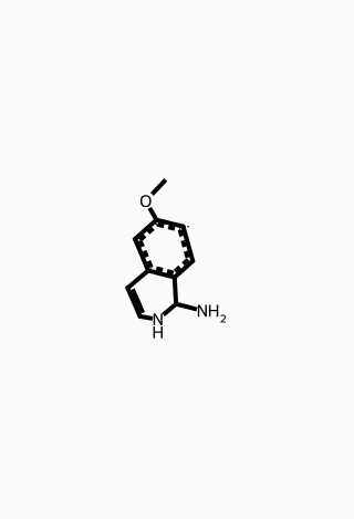 COc1[c]cc2c(c1)C=CNC2N